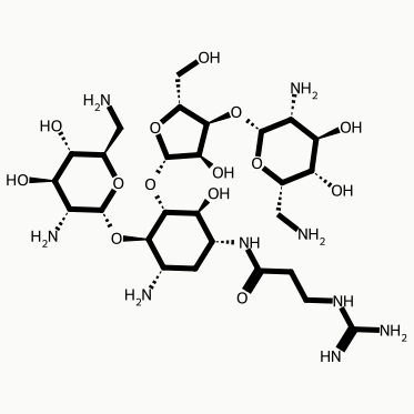 N=C(N)NCCC(=O)N[C@@H]1C[C@H](N)[C@@H](O[C@H]2O[C@H](CN)[C@@H](O)[C@H](O)[C@H]2N)[C@H](O[C@@H]2O[C@H](CO)[C@@H](O[C@H]3O[C@@H](CN)[C@@H](O)[C@H](O)[C@H]3N)[C@H]2O)[C@H]1O